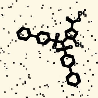 COC(=S)c1cc(N(S(=O)(=O)c2ccc(-c3ccccc3)cc2)S(=O)(=O)c2ccc(-c3ccccc3)cc2)c(C)s1